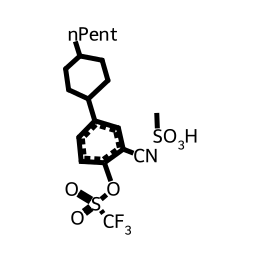 CCCCCC1CCC(c2ccc(OS(=O)(=O)C(F)(F)F)c(C#N)c2)CC1.CS(=O)(=O)O